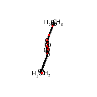 C=C(C)C(=O)OCCCCCCCCCCCCCCCCCOc1ccc(C(=O)Oc2ccc(OC(=O)c3ccc(OCCCCCCCCCCCCCCCCCOC(=O)C(=C)C)cc3F)cc2)c(F)c1